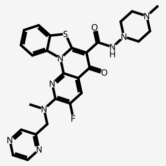 CN1CCN(NC(=O)c2c(=O)c3cc(F)c(N(C)Cc4cnccn4)nc3n3c2sc2ccccc23)CC1